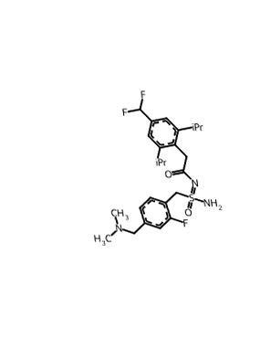 CC(C)c1cc(C(F)F)cc(C(C)C)c1CC(=O)N=S(N)(=O)Cc1ccc(CN(C)C)cc1F